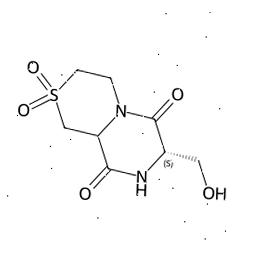 O=C1N[C@@H](CO)C(=O)N2CCS(=O)(=O)CC12